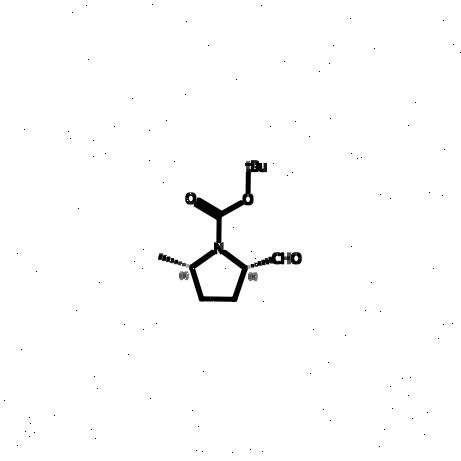 C[C@H]1CC[C@@H](C=O)N1C(=O)OC(C)(C)C